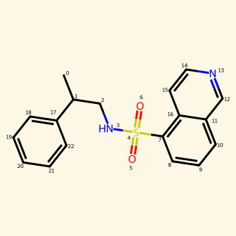 CC(CNS(=O)(=O)c1cccc2cnccc12)c1ccccc1